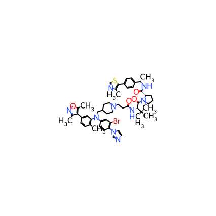 Cc1ccc(-c2c(C)noc2C)cc1N(CC1CCN(CCC(=O)N[C@H](C(=O)N2CCC[C@H]2C(=O)N[C@@H](C)c2ccc(-c3scnc3C)cc2)C(C)(C)C)CC1)c1ccc(-n2ccnc2)c(Br)c1